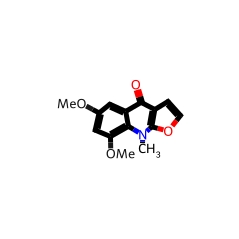 COc1cc(OC)c2c(c1)c(=O)c1ccoc1n2C